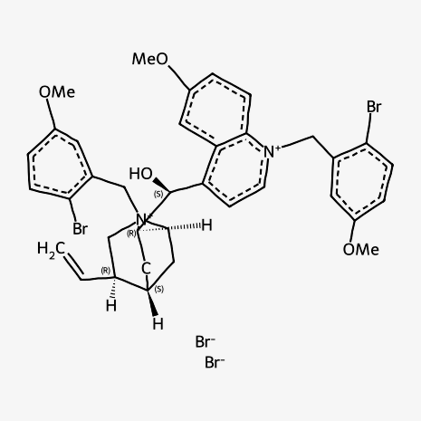 C=C[C@H]1C[N+]2(Cc3cc(OC)ccc3Br)CC[C@H]1C[C@@H]2[C@@H](O)c1cc[n+](Cc2cc(OC)ccc2Br)c2ccc(OC)cc12.[Br-].[Br-]